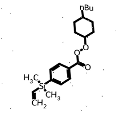 C=C[Si](C)(C)c1ccc(C(=O)OO[C]2CCC(CCCC)CC2)cc1